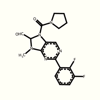 CN1c2nc(-c3cccc(F)c3F)ncc2N(C(=O)N2CCCC2)C1C=O